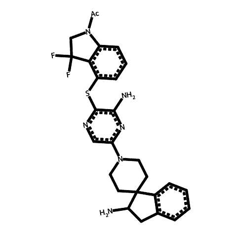 CC(=O)N1CC(F)(F)c2c(Sc3ncc(N4CCC5(CC4)c4ccccc4CC5N)nc3N)cccc21